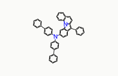 c1ccc(-c2ccc(N(c3ccc(-c4ccccc4)cc3)c3ccc4c(-c5ccccc5)c5ccc6ccccc6n5c4c3)cc2)cc1